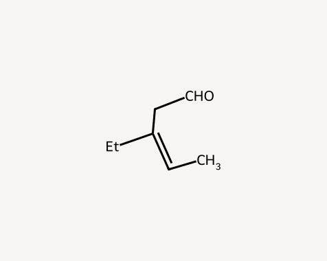 CC=C(CC)CC=O